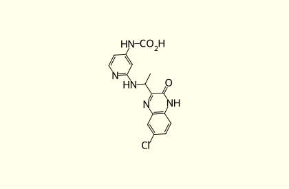 CC(Nc1cc(NC(=O)O)ccn1)c1nc2cc(Cl)ccc2[nH]c1=O